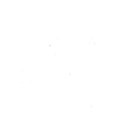 CC1C=C(C2(C)C3CC4CC(C3)CC2C4)C=[C]1[Zr+2](=[C](c1ccccc1)c1ccccc1)[C]1(C)C2=C3Cc4ccccc4C3=C3C=CCCC3C2(C)C(C)(C)C(C)(C)C1(C)C.[Cl-].[Cl-]